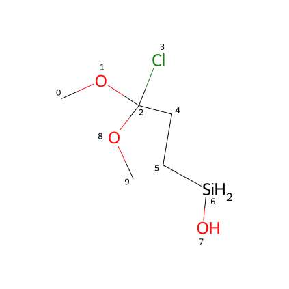 COC(Cl)(CC[SiH2]O)OC